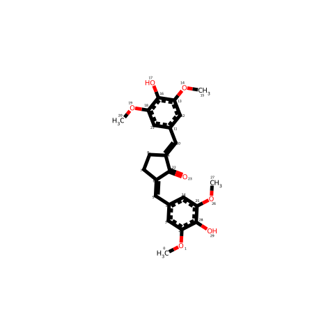 COc1cc(/C=C2/CC/C(=C\c3cc(OC)c(O)c(OC)c3)C2=O)cc(OC)c1O